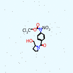 O=C(c1ccc(N(C(=O)OCC(Cl)(Cl)Cl)[N+](=O)[O-])cc1)N1CCCC1CO